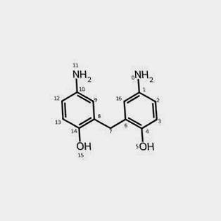 Nc1ccc(O)c(Cc2cc(N)ccc2O)c1